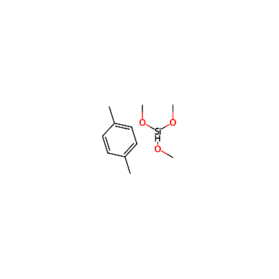 CO[SiH](OC)OC.Cc1ccc(C)cc1